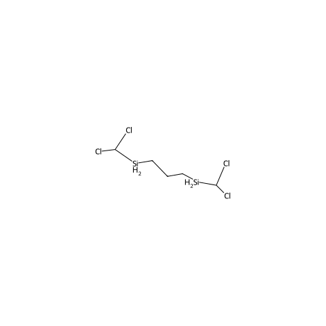 ClC(Cl)[SiH2]CCC[SiH2]C(Cl)Cl